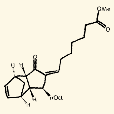 CCCCCCCC[C@@H]1/C(=C/CCCCCC(=O)OC)C(=O)[C@@H]2[C@H]1[C@H]1C=C[C@@H]2C1